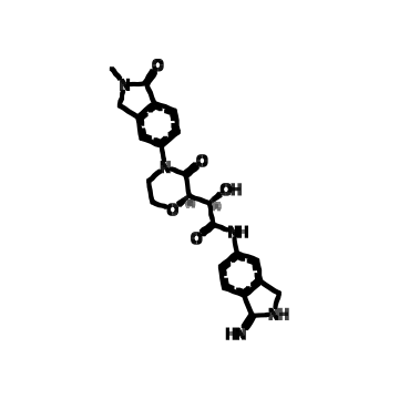 CN1Cc2cc(N3CCO[C@H]([C@@H](O)C(=O)Nc4ccc5c(c4)CNC5=N)C3=O)ccc2C1=O